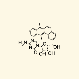 Cc1c2ccccc2c(C)c2c1ccc1ccccc12.Nc1ncn([C@@H]2O[C@H](CO)[C@@H](O)[C@H]2O)c(=O)n1